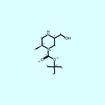 C[C@H]1CNC(CO)CN1C(=O)OC(C)(C)C